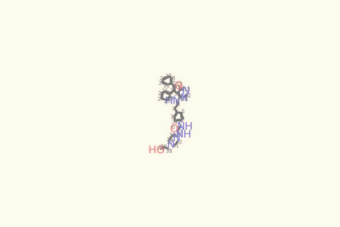 O=C(Nc1ccc(CCNc2ncnc3oc(-c4ccccc4)c(-c4ccccc4)c23)cc1)NN1CCN(CCO)CC1